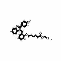 CCOC(=O)CCCCCOc1ccccc1Cn1c(-c2ccc(Br)cc2)nc2ccccc21